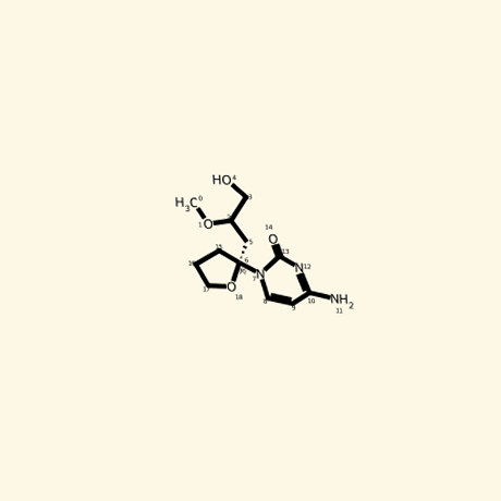 COC(CO)C[C@@]1(n2ccc(N)nc2=O)CCCO1